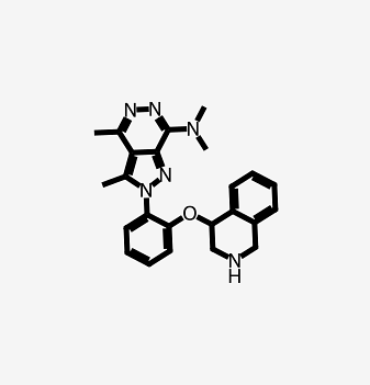 Cc1nnc(N(C)C)c2nn(-c3ccccc3OC3CNCc4ccccc43)c(C)c12